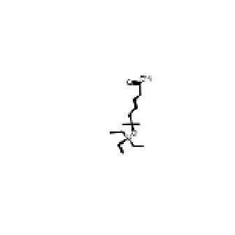 CC[Si](CC)(CC)OC(C)(C)CCCCC(=O)O